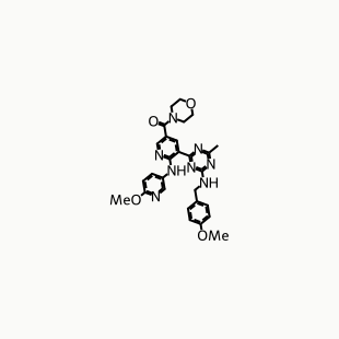 COc1ccc(CNc2nc(C)nc(-c3cc(C(=O)N4CCOCC4)cnc3Nc3ccc(OC)nc3)n2)cc1